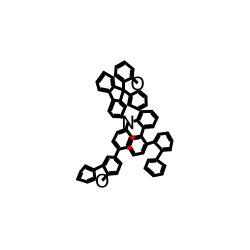 c1ccc(-c2ccccc2-c2ccccc2-c2ccccc2N(c2ccc(-c3ccc4oc5ccccc5c4c3)cc2)c2ccc3c(c2)C2(c4ccccc4Oc4ccccc42)c2ccccc2-3)cc1